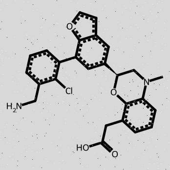 CN1C[C@H](c2cc(-c3cccc(CN)c3Cl)c3occc3c2)Oc2c(CC(=O)O)cccc21